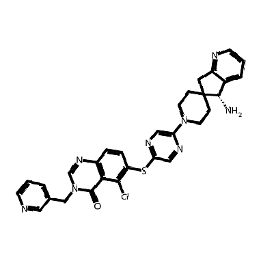 N[C@H]1c2cccnc2CC12CCN(c1cnc(Sc3ccc4ncn(Cc5cccnc5)c(=O)c4c3Cl)cn1)CC2